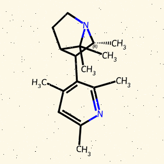 Cc1cc(C)c(C2C3CCN([C@@H]2C)C3(C)C)c(C)n1